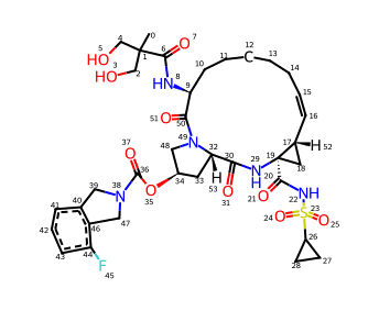 CC(CO)(CO)C(=O)N[C@H]1CCCCC/C=C\[C@@H]2C[C@@]2(C(=O)NS(=O)(=O)C2CC2)NC(=O)[C@@H]2C[C@@H](OC(=O)N3Cc4cccc(F)c4C3)CN2C1=O